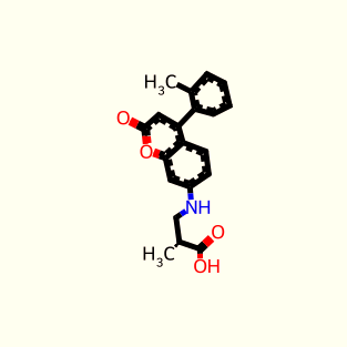 Cc1ccccc1-c1cc(=O)oc2cc(NC[C@@H](C)C(=O)O)ccc12